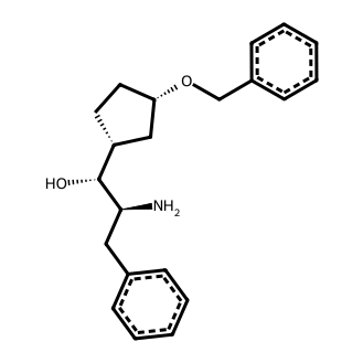 N[C@@H](Cc1ccccc1)[C@H](O)[C@@H]1CC[C@H](OCc2ccccc2)C1